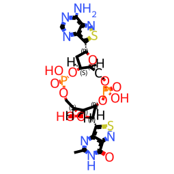 Cc1nc2c([C@@H]3O[C@@H]4COP(=O)(O)O[C@H]5C[C@H](c6snc7c(N)ncnc67)O[C@@H]5COP(=O)(O)O[C@@H]3[C@@H]4CO)snc2c(=O)[nH]1